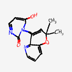 CC1(C)C=C(n2c(O)ccnc2=O)c2ncccc2O1